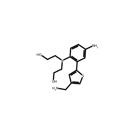 NCc1csc(-c2cc(N)ccc2N(CCO)CCO)c1